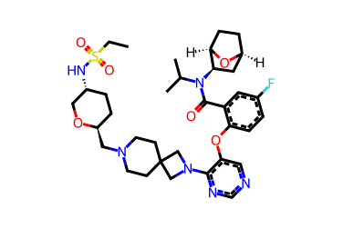 CCS(=O)(=O)N[C@@H]1CC[C@@H](CN2CCC3(CC2)CN(c2ncncc2Oc2ccc(F)cc2C(=O)N(C(C)C)[C@@H]2C[C@@H]4CC[C@H]2O4)C3)OC1